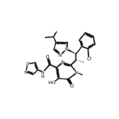 CC(C)c1cnn([C@@H](c2ccccc2Cl)[C@H](C)c2nc(C(=O)Nc3cnoc3)c(O)c(=O)n2C)c1